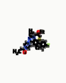 C=CC(=O)N1CCN(C2=NC(=C)N3C[C@@H](OCC)CSc4c(-c5ccc(F)cc5)c(C)cc2c43)CC1